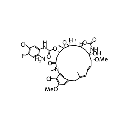 COc1cc2cc(c1Cl)N(C)C(=O)C[C@H](OC(=O)Nc1cc(Cl)c(F)cc1N)[C@]1(C)O[C@H]1[C@H](C)[C@@H]1C[C@@](O)(NC(=O)O1)[C@H](OC)/C=C/C=C(\C)C2